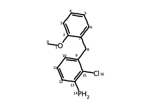 COc1ccccc1Cc1cccc(P)c1Cl